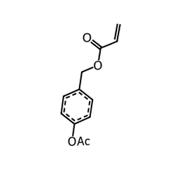 C=CC(=O)OCc1ccc(OC(C)=O)cc1